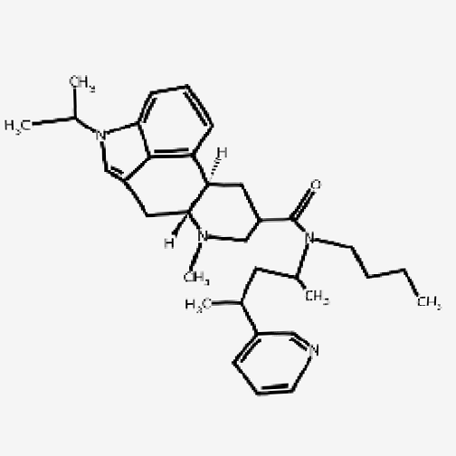 CCCCN(C(=O)C1C[C@@H]2c3cccc4c3c(cn4C(C)C)C[C@H]2N(C)C1)C(C)CC(C)c1cccnc1